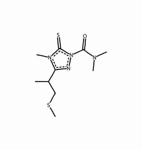 CSCC(C)c1nn(C(=O)N(C)C)c(=S)n1C